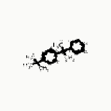 CC(C)(C)c1ccc(C(C)(C)c2ccccc2)cc1